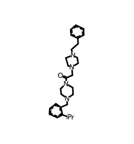 CC(C)c1ccccc1CN1CCN(C(=O)CN2CCN(CCc3ccccc3)CC2)CC1